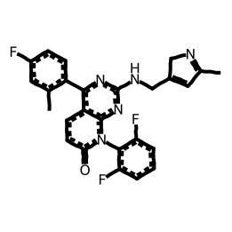 CC1=NCC(CNc2nc(-c3ccc(F)cc3C)c3ccc(=O)n(-c4c(F)cccc4F)c3n2)=C1